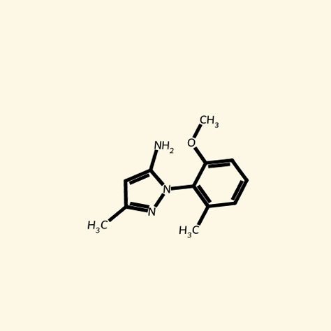 COc1cccc(C)c1-n1nc(C)cc1N